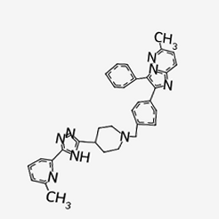 Cc1cccc(-c2nnc(C3CCN(Cc4ccc(-c5nc6ccc(C)nn6c5-c5ccccc5)cc4)CC3)[nH]2)n1